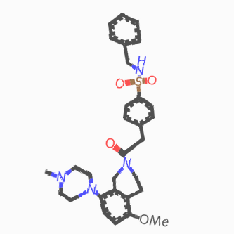 COc1ccc(N2CCN(C)CC2)c2c1CCN(C(=O)Cc1ccc(S(=O)(=O)NCc3ccccc3)cc1)C2